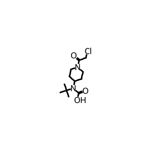 CC(C)(C)N(C(=O)O)C1CCN(C(=O)CCl)CC1